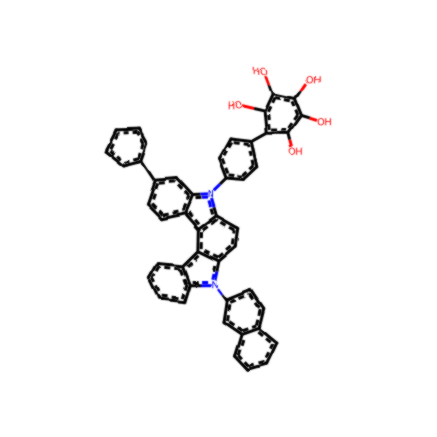 Oc1c(O)c(O)c(-c2ccc(-n3c4cc(-c5ccccc5)ccc4c4c5c6ccccc6n(-c6ccc7ccccc7c6)c5ccc43)cc2)c(O)c1O